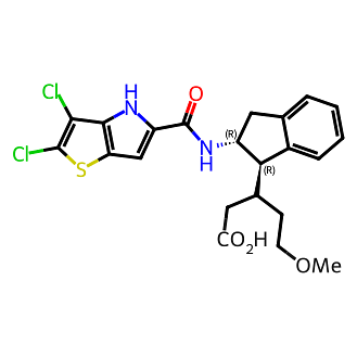 COCCC(CC(=O)O)[C@@H]1c2ccccc2C[C@H]1NC(=O)c1cc2sc(Cl)c(Cl)c2[nH]1